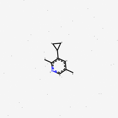 Cc1cnc(C)c(C2CC2)c1